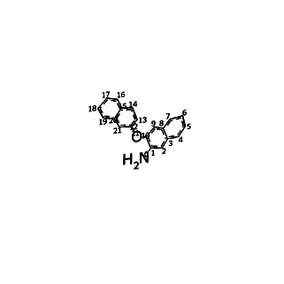 Nc1cc2ccccc2cc1Oc1ccc2ccccc2c1